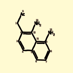 CC(=O)Cc1ccc2cccc(N)c2c1N